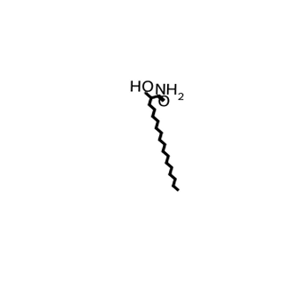 CCCCCCCCCCCCCCCCC(CO)C(N)=O